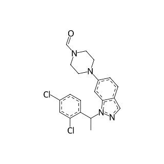 CC(c1ccc(Cl)cc1Cl)n1ncc2ccc(N3CCN(C=O)CC3)cc21